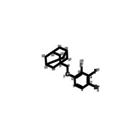 Fc1c(Br)ccc(OCC23CC4CC(CC(C4)C2)C3)c1F